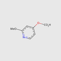 COc1cc(OC(=O)O)ccn1